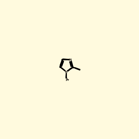 Cc1n[c]cn1C(C)C